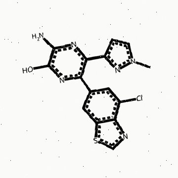 Cn1ccc(-c2nc(N)c(O)nc2-c2cc(Cl)c3ncsc3c2)n1